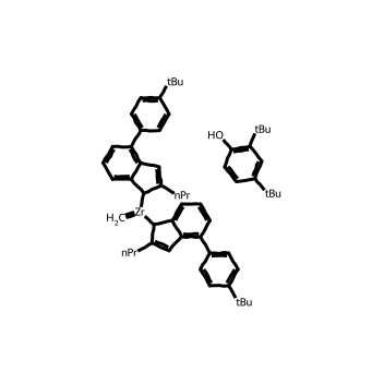 CC(C)(C)c1ccc(O)c(C(C)(C)C)c1.[CH2]=[Zr]([CH]1C(CCC)=Cc2c(-c3ccc(C(C)(C)C)cc3)cccc21)[CH]1C(CCC)=Cc2c(-c3ccc(C(C)(C)C)cc3)cccc21